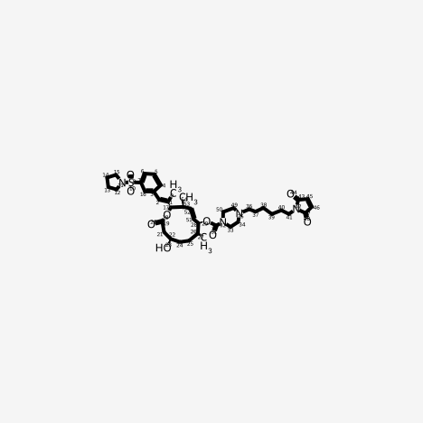 C/C(=C\c1cccc(S(=O)(=O)N2CCCC2)c1)[C@H]1OC(=O)C[C@H](O)CC[C@H](C)[C@@H](OC(=O)N2CCN(CCCCCCN3C(=O)C=CC3=O)CC2)/C=C/[C@@H]1C